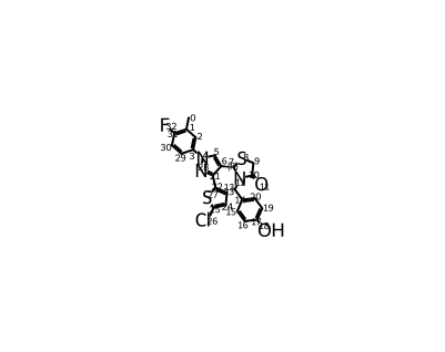 Cc1cc(-n2cc([C@H]3SCC(=O)N3Cc3ccc(O)cc3)c(-c3ccc(Cl)s3)n2)ccc1F